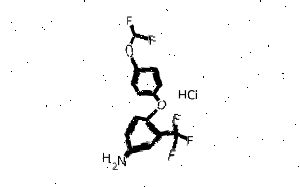 Cl.Nc1ccc(Oc2ccc(OC(F)F)cc2)c(C(F)(F)F)c1